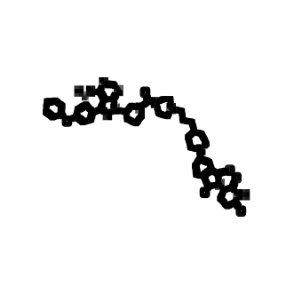 Nc1ncnc2c1c(-c1ccc(Oc3ccccc3)cc1)nn2C1CCCN(C(=O)N2CCN(CCCC3CCN(c4ccc5c(c4)C(=O)N(C4CCC(=O)NC4=O)C5=O)CC3)CC2)C1